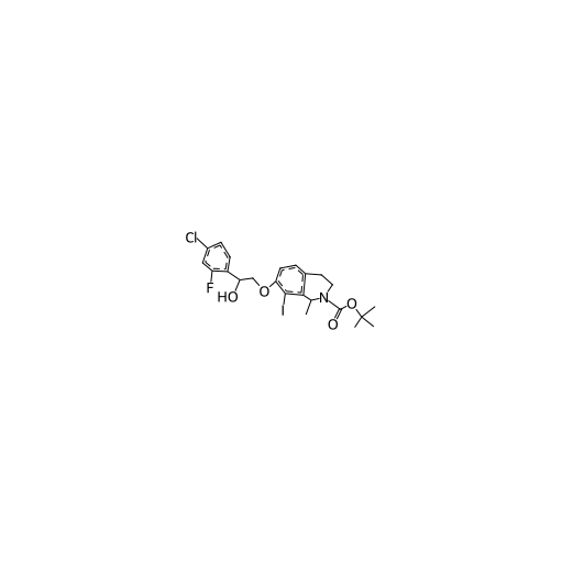 CC1c2c(ccc(OCC(O)c3ccc(Cl)cc3F)c2I)CCN1C(=O)OC(C)(C)C